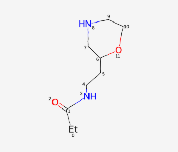 CCC(=O)NCCC1CNCCO1